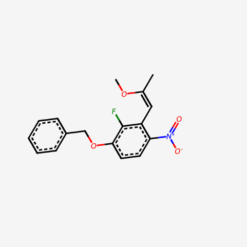 COC(C)=Cc1c([N+](=O)[O-])ccc(OCc2ccccc2)c1F